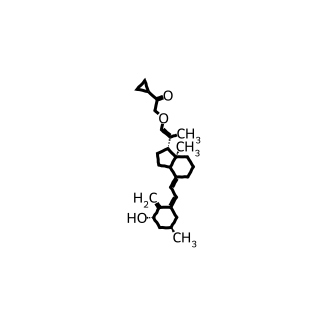 C=C1/C(=C\C=C2/CCC[C@@]3(C)C2CC[C@@H]3/C(C)=C/OCC(=O)C2CC2)C[C@@H](C)C[C@@H]1O